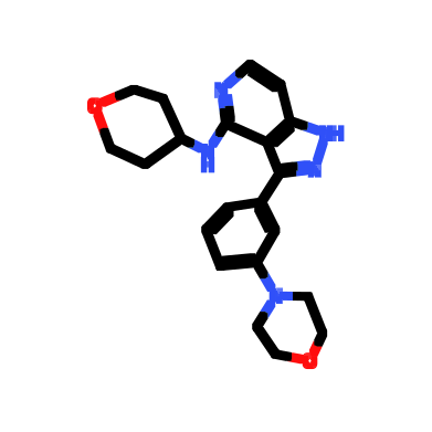 c1cc(-c2n[nH]c3ccnc(NC4CCOCC4)c23)cc(N2CCOCC2)c1